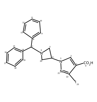 O=C(O)c1cn(C2CN(C(c3ccccc3)c3ccccc3)C2)nc1I